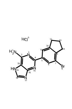 Cl.Nc1nc(-c2cc(Br)c3c(c2)CCC3)nc2nc[nH]c12